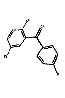 CCc1ccc(O)c(C(=O)c2ccc(F)cc2)c1